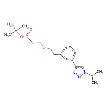 CC(C)n1cc(-c2cccc(CCOCCC(=O)OC(C)(C)C)c2)nn1